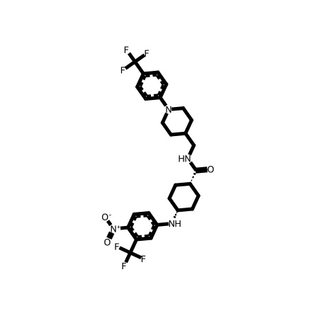 O=C(NCC1CCN(c2ccc(C(F)(F)F)cc2)CC1)[C@H]1CC[C@@H](Nc2ccc([N+](=O)[O-])c(C(F)(F)F)c2)CC1